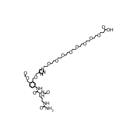 NC(=O)NCCCC(NC=O)C(=O)Nc1ccc(COC=O)c(COCc2cn(CCOCCOCCOCCOCCOCCOCCOCCOCCC(=O)O)nn2)c1